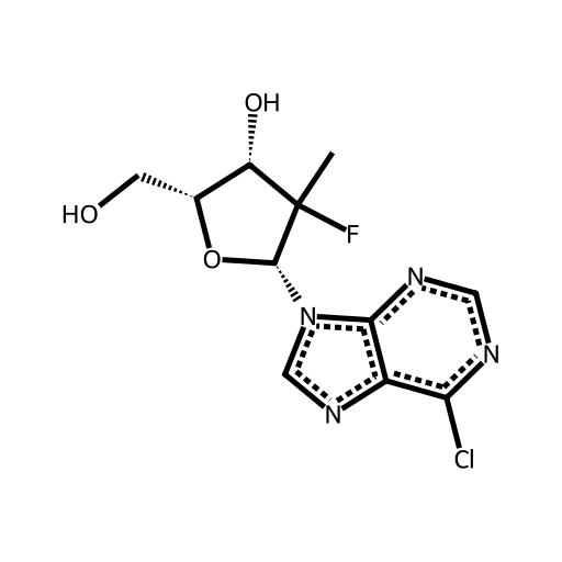 CC1(F)[C@@H](O)[C@@H](CO)O[C@H]1n1cnc2c(Cl)ncnc21